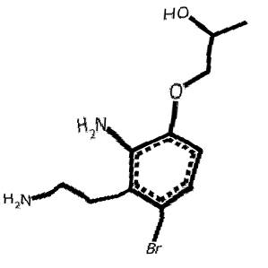 CC(O)COc1ccc(Br)c(CCN)c1N